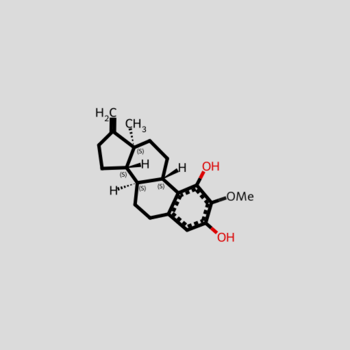 C=C1CC[C@H]2[C@@H]3CCc4cc(O)c(OC)c(O)c4[C@H]3CC[C@]12C